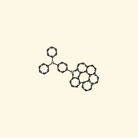 c1ccc(N(c2ccccc2)c2ccc(-n3c4cccc5c4c4c6c(ccc7ccc8cccc-5c8c76)ccc43)cc2)cc1